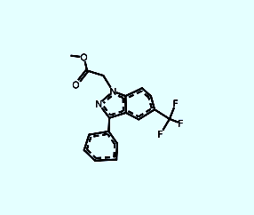 COC(=O)Cn1nc(-c2ccccc2)c2cc(C(F)(F)F)ccc21